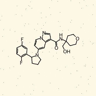 O=C(NC1(CO)CCOCC1)c1cnn2ccc(N3CCCC3c3cc(F)ccc3F)cc12